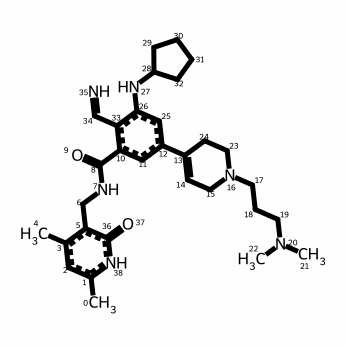 Cc1cc(C)c(CNC(=O)c2cc(C3=CCN(CCCN(C)C)CC3)cc(NC3CCCC3)c2C=N)c(=O)[nH]1